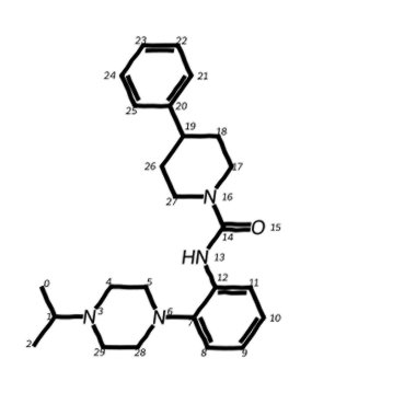 CC(C)N1CCN(c2ccccc2NC(=O)N2CCC(c3ccccc3)CC2)CC1